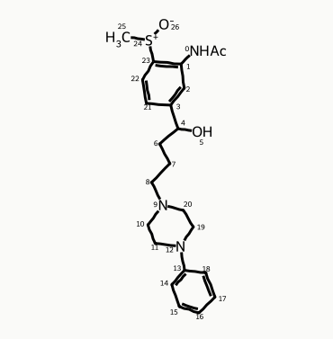 CC(=O)Nc1cc(C(O)CCCN2CCN(c3ccccc3)CC2)ccc1[S+](C)[O-]